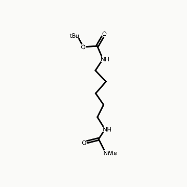 CNC(=O)NCCCCCNC(=O)OC(C)(C)C